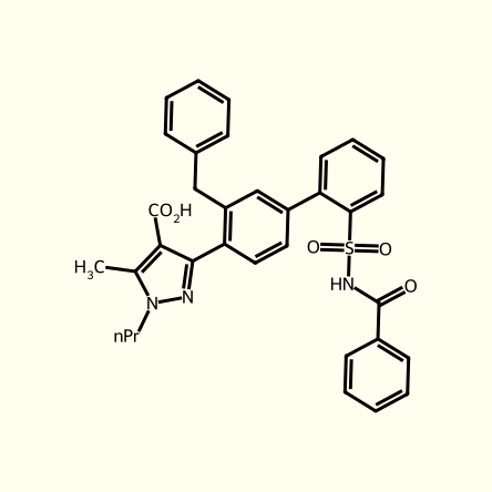 CCCn1nc(-c2ccc(-c3ccccc3S(=O)(=O)NC(=O)c3ccccc3)cc2Cc2ccccc2)c(C(=O)O)c1C